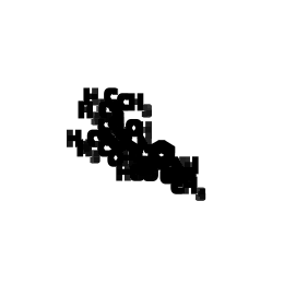 CC(C)C1(C)C(O)=C(C2=NP(=O)(O)c3cc(NS(C)(=O)=O)ccc3N2)C(=O)N1CCC(C)(C)C